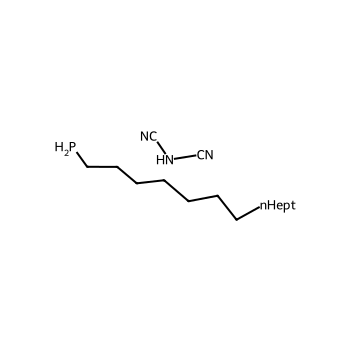 CCCCCCCCCCCCCCP.N#CNC#N